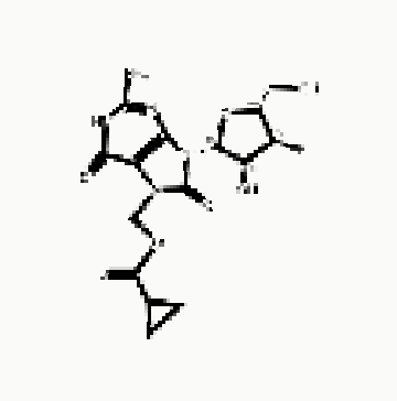 Nc1nc2c(c(=O)[nH]1)n(COC(=O)C1CC1)c(=O)n2[C@@H]1O[C@H](CO)[C@@H](F)[C@H]1O